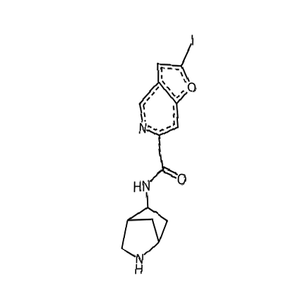 O=C(NC1CC2CC1CN2)c1cc2oc(I)cc2cn1